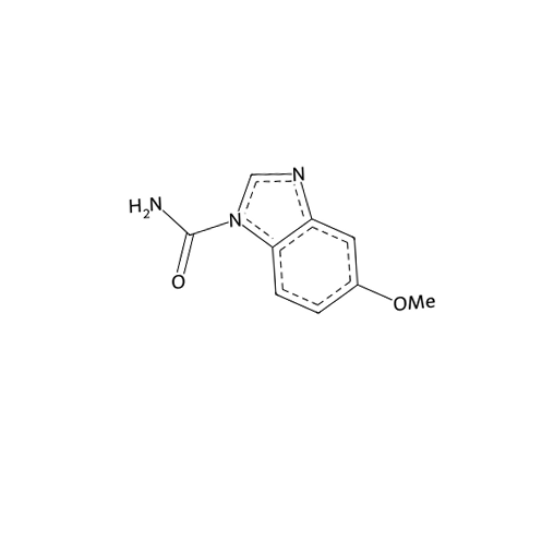 COc1ccc2c(c1)ncn2C(N)=O